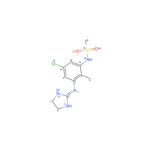 Cc1c(N=C2NCCN2)cc(Cl)cc1NS(C)(=O)=O